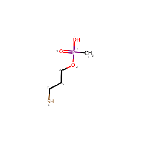 CP(=O)(O)OCCCS